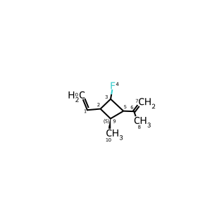 C=CC1C(F)C(C(=C)C)[C@H]1C